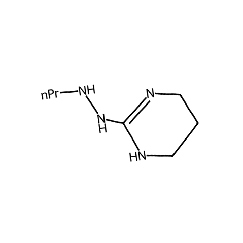 CCCNNC1=NCCCN1